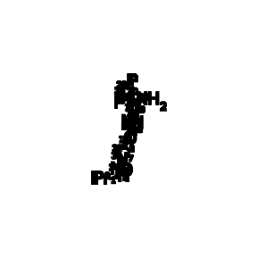 CC(C)Cc1noc(N2CCC(COc3cnc(N4C[C@H](C5=CC(F)CC=C5F)[C@@H](N)C4)nc3)CC2)n1